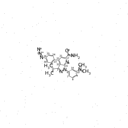 CC(C)c1nn(-c2cccc(N(C)C)c2)c2nc(C(N)=O)cc(-c3ccc(N=[N+]=[N-])cc3)c12